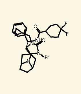 CC(C)N1C(=O)N(CC2CC2)CC12CC1CCC(C2)N1CC[C@H](NC(=O)C1CCC(F)(F)CC1)c1ccccc1